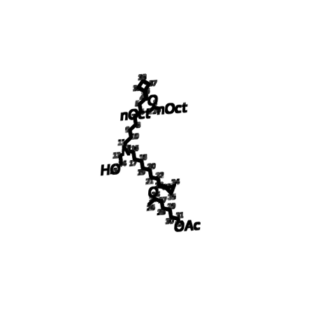 CCCCCCCCC(CCCCCCCC)OC(CCCCCCCN(CCO)CCCCCCCC(OC(C)CCCCCOC(C)=O)=C1CC1)=C1CCC1